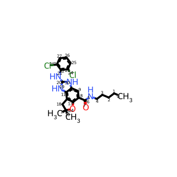 CCCCCNC(=O)c1cc2c(c3c1OC(C)(C)C3)NC(Nc1c(Cl)cccc1Cl)N2